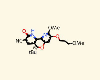 COCCCOc1cc2c(nc1OC)-c1[nH]c(=O)c(C#N)cc1[C@@H](C(C)(C)C)O2